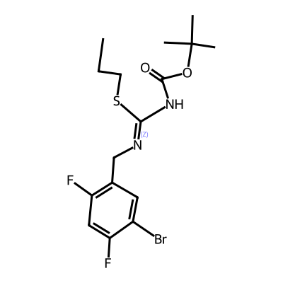 CCCS/C(=N\Cc1cc(Br)c(F)cc1F)NC(=O)OC(C)(C)C